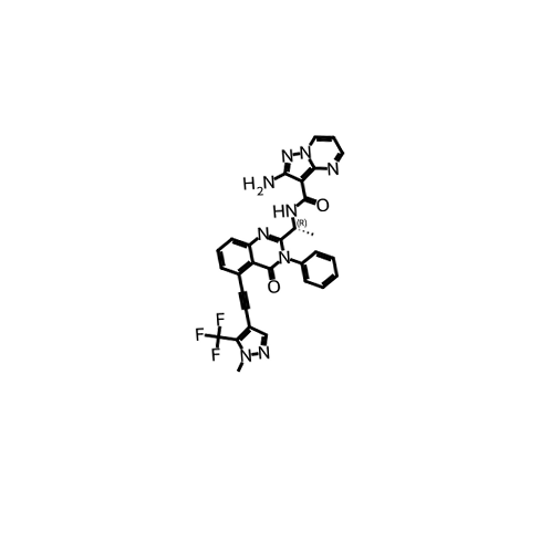 C[C@@H](NC(=O)c1c(N)nn2cccnc12)c1nc2cccc(C#Cc3cnn(C)c3C(F)(F)F)c2c(=O)n1-c1ccccc1